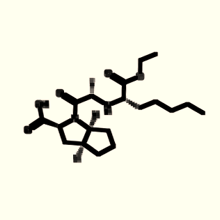 CCCCC[C@H](N[C@@H](C)C(=O)N1[C@H](C(=O)O)C[C@@H]2CCC[C@@H]21)C(=O)OCC